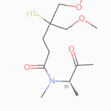 COCC(S)(CCC(=O)N(C)[C@H](C)C(C)=O)COC